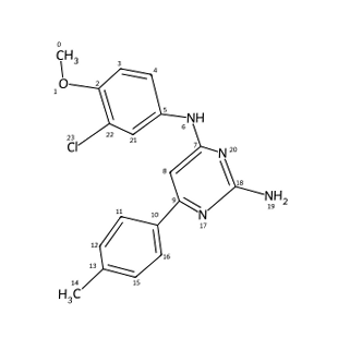 COc1ccc(Nc2cc(-c3ccc(C)cc3)nc(N)n2)cc1Cl